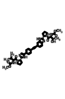 COC(=O)N[C@H](C(=O)N1CCC[C@H]1c1ncc(-c2ccc(C#Cc3ccc4nc([C@@H]5CCCN5C(=O)[C@@H](NC(=O)OC)[C@H](C)O)[nH]c4c3)cc2)[nH]1)C(C)C